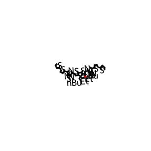 CCCCC(CC)CC1(CC(CC)CCCC)c2cc(-c3ncc(-c4ccc(-c5cccs5)s4)c4nsnc34)sc2-c2sc(-c3ncc(-c4ccc(-c5cccs5)s4)c4nsnc34)cc21